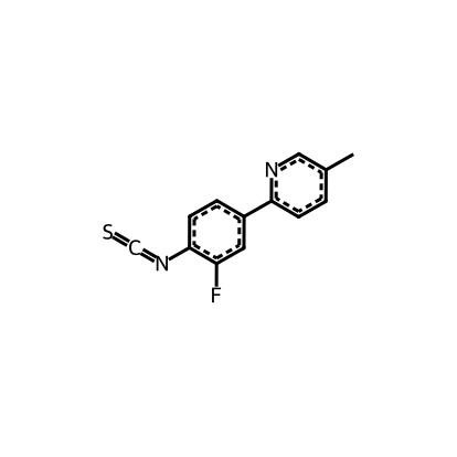 Cc1ccc(-c2ccc(N=C=S)c(F)c2)nc1